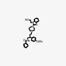 COc1ccc(C(CCN2CCCN(c3nc4ccccc4n3CCC#N)CC2)CN(C)C(=O)c2ccccc2)cc1